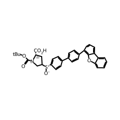 CC(C)(C)OC(=O)N1CC([S+]([O-])c2ccc(-c3ccc(-c4cccc5c4oc4ccccc45)cc3)cc2)C[C@H]1C(=O)O